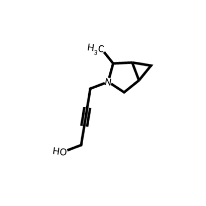 CC1C2CC2CN1CC#CCO